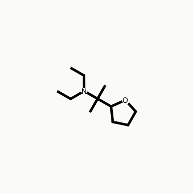 CCN(CC)C(C)(C)C1CCCO1